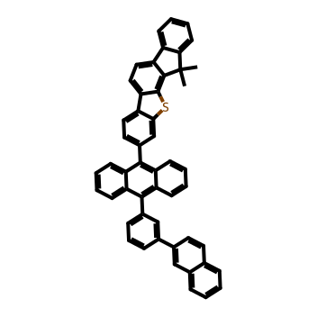 CC1(C)c2ccccc2-c2ccc3c(sc4cc(-c5c6ccccc6c(-c6cccc(-c7ccc8ccccc8c7)c6)c6ccccc56)ccc43)c21